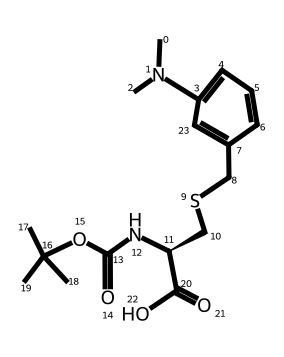 CN(C)c1cccc(CSC[C@H](NC(=O)OC(C)(C)C)C(=O)O)c1